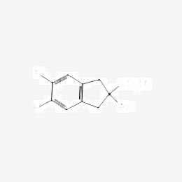 CCOC(=O)C1(C(C)=O)Cc2cc(F)c(F)cc2C1